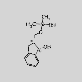 CC(C)(C)[Si](C)(C)OC[C@H]1Cc2ccccc2[C@H]1O